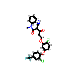 CN(C(=O)C(C#N)C(=O)CCOc1cc(Oc2ccc(C(F)(F)F)cc2Cl)ccc1Cl)c1ccccc1